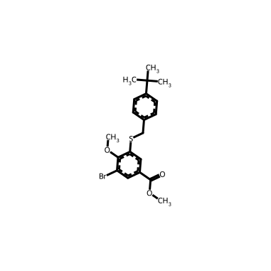 COC(=O)c1cc(Br)c(OC)c(SCc2ccc(C(C)(C)C)cc2)c1